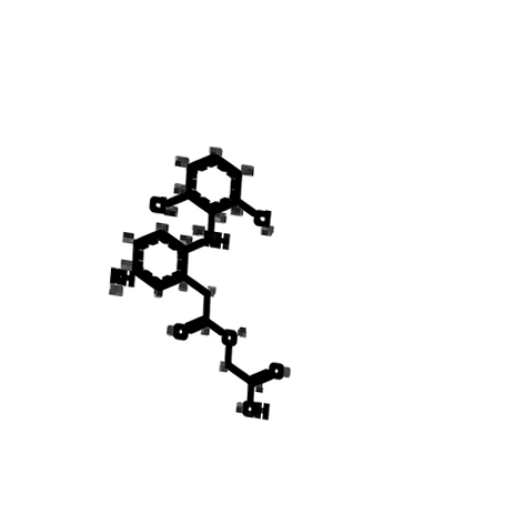 O=C(O)COC(=O)Cc1ccccc1Nc1c(Cl)cccc1Cl.[KH]